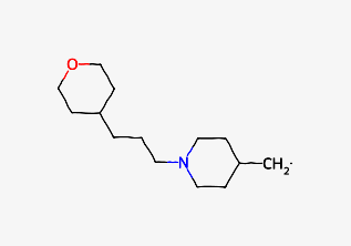 [CH2]C1CCN(CCCC2CCOCC2)CC1